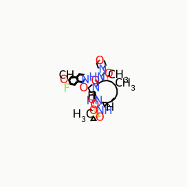 CC[C@@H]1C[C@H](C)CCC=C[C@@H]2C[C@@]2(C(=O)NS(=O)(=O)C2(C)CC2)NC(=O)[C@@H]2C[C@@H](Oc3nccc4cc(OC)c(F)cc34)CN2C(=O)[C@H]1NC(=O)N1CCOCC1